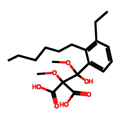 CCCCCCc1c(CC)cccc1C(O)(OC)C(OC)(C(=O)O)C(=O)O